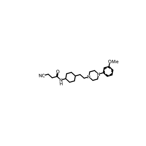 COc1cccc(N2CCN(CCC3CCC(NC(=O)CCC#N)CC3)CC2)c1